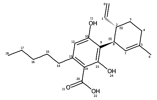 C=C[C@@H]1CCC(C)=C[C@H]1c1c(O)cc(CCCCC)c(C(=O)O)c1O